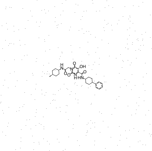 C[C@H]1CC[C@@H](NC(=O)Cn2c(=O)[nH]c(C(=O)NC3CCC(c4ccccc4)CC3)c(O)c2=O)CC1